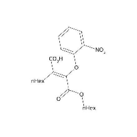 CCCCCCOC(=O)C(Oc1ccccc1[N+](=O)[O-])=C(CCCCCC)C(=O)O